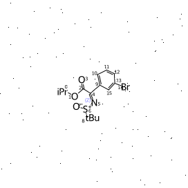 CC(C)OC(=O)/C(=N\[S+]([O-])C(C)(C)C)c1cccc(Br)c1